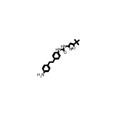 CC(C)(C)c1cc(NC(=O)Nc2ccc(CCc3ccc(N)cc3)cc2)no1